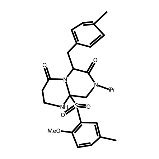 COc1ccc(C)cc1S(=O)(=O)C12CN(C(C)C)C(=O)C(Cc3ccc(C)cc3)N1C(=O)CCN2